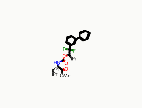 COC(=O)[C@H](CC(C)C)NC(=O)OC(C(C)C)C(F)(F)c1cccc(-c2ccccc2)c1